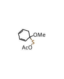 COC1(SOC(C)=O)C=CC=CC1